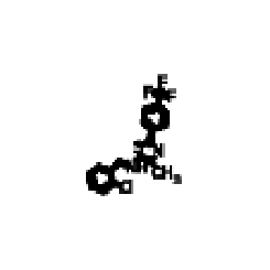 Cc1nc(-c2ccc(C(F)(F)F)cc2)sc1NCc1ccccc1Cl